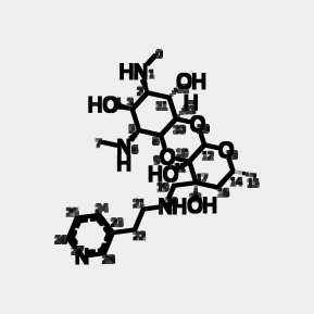 CN[C@@H]1[C@H](O)[C@H](NC)C2OC3(O)C(O[C@H](C)C[C@@]3(O)CNCCc3cccnc3)O[C@@H]2[C@H]1O